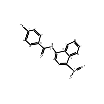 O=C(Nc1ccc([N+](=O)[O-])c2ccccc12)c1ccc(F)cc1